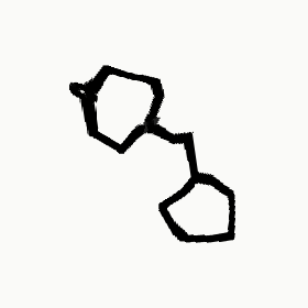 C1CC[C](CN2CCOCC2)C1